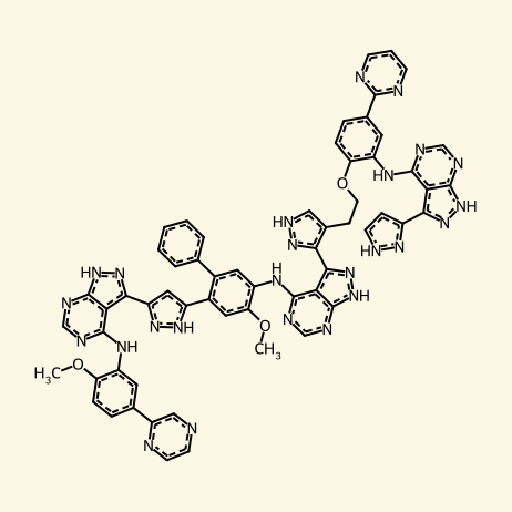 COc1ccc(-c2cnccn2)cc1Nc1ncnc2[nH]nc(-c3cc(-c4cc(OC)c(Nc5ncnc6[nH]nc(-c7n[nH]cc7CCOc7ccc(-c8ncccn8)cc7Nc7ncnc8[nH]nc(-c9cc[nH]n9)c78)c56)cc4-c4ccccc4)[nH]n3)c12